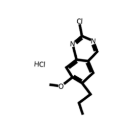 CCCc1cc2cnc(Cl)nc2cc1OC.Cl